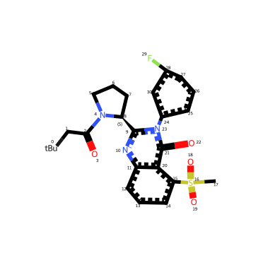 CC(C)(C)CC(=O)N1CCC[C@H]1c1nc2cccc(S(C)(=O)=O)c2c(=O)n1-c1cccc(F)c1